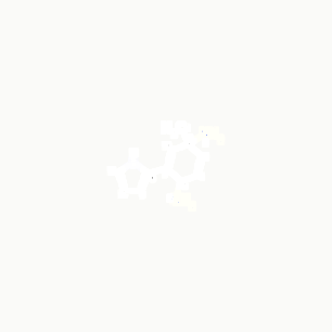 CC1(N)C=CC(N)C(c2cccs2)=C1